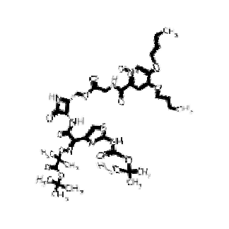 CCCCOc1cc(C(=O)NCC(=O)OC[C@H]2NC(=O)[C@H]2NC(=O)/C(=N\OC(C)(C)C(=O)OC(C)(C)C)c2csc(NC(=O)OC(C)(C)C)n2)[n+]([O-])cc1OCCCC